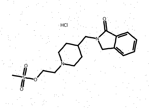 CS(=O)(=O)OCCN1CCC(CN2Cc3ccccc3C2=O)CC1.Cl